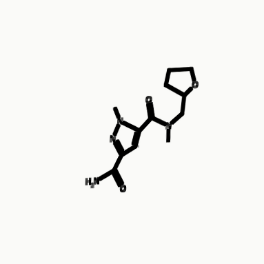 CN(CC1CCCO1)C(=O)c1[c]c(C(N)=O)nn1C